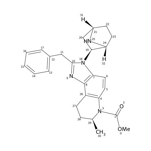 COC(=O)N1c2ccc3c(nc(Cc4ccccc4)n3[C@H]3C[C@@H]4CC[C@H]3N4)c2CC[C@@H]1C